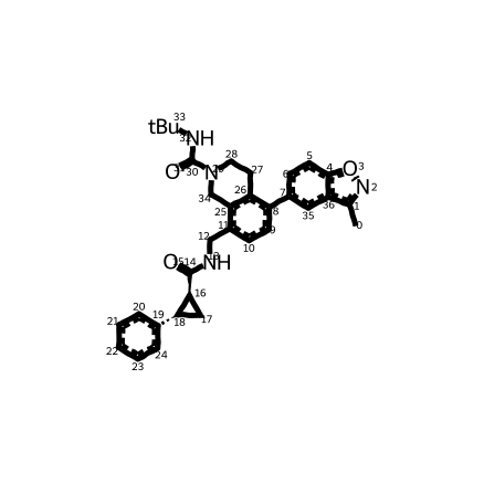 Cc1noc2ccc(-c3ccc(CNC(=O)[C@H]4C[C@@H]4c4ccccc4)c4c3CCN(C(=O)NC(C)(C)C)C4)cc12